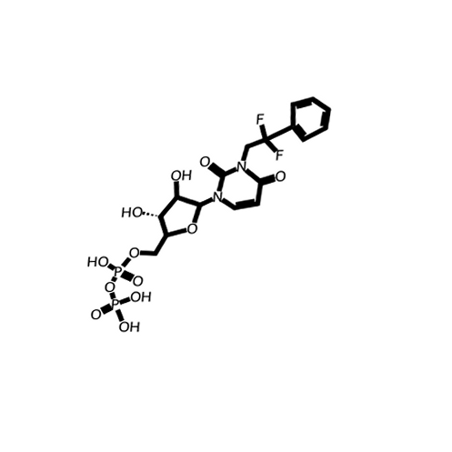 O=c1ccn(C2OC(COP(=O)(O)OP(=O)(O)O)[C@H](O)C2O)c(=O)n1CC(F)(F)c1ccccc1